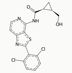 O=C(Nc1nccc2nc(-c3c(Cl)cccc3Cl)sc12)[C@H]1C[C@H]1CO